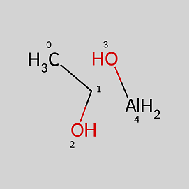 CCO.[OH][AlH2]